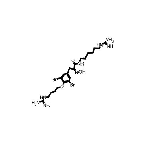 N=C(N)NCCCCCCNC(=O)C(Cc1cc(Br)c(OCCCCNC(=N)N)c(Br)c1)=NO